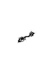 CC1(C)COP(=O)(NCCCCNP2(=O)OCC(C)(C)CO2)OC1